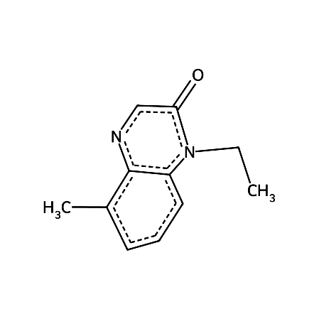 CCn1c(=O)cnc2c(C)cccc21